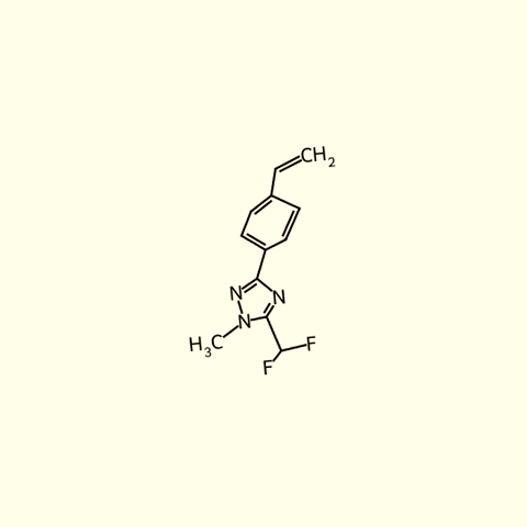 C=Cc1ccc(-c2nc(C(F)F)n(C)n2)cc1